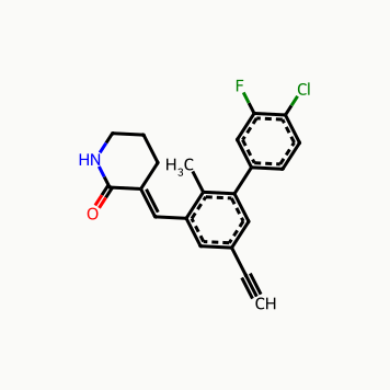 C#Cc1cc(/C=C2\CCCNC2=O)c(C)c(-c2ccc(Cl)c(F)c2)c1